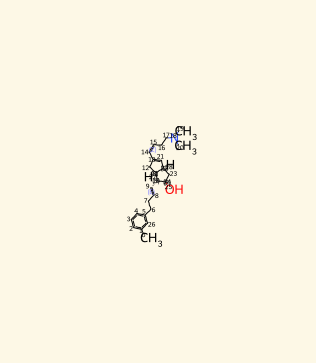 Cc1cccc(CC/C=C/[C@@H]2[C@H]3CC(/C=C\CCN(C)C)=C[C@H]3C[C@H]2O)c1